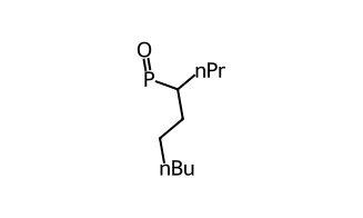 CCCCCCC(CCC)P=O